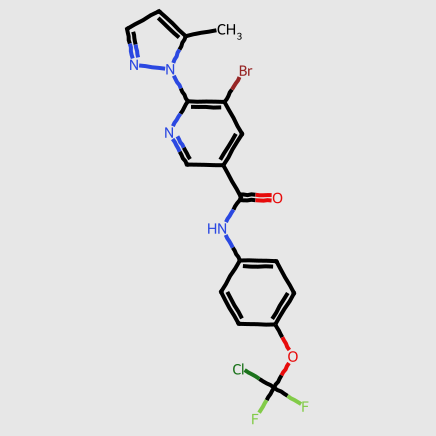 Cc1ccnn1-c1ncc(C(=O)Nc2ccc(OC(F)(F)Cl)cc2)cc1Br